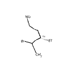 CC[C@@H](CCN=O)C(C)C(C)C